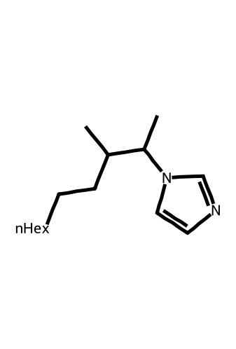 CCCCCCCCC(C)C(C)n1ccnc1